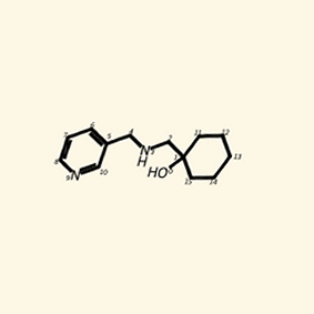 OC1(CNCc2cccnc2)CCCCC1